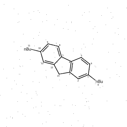 CCCCc1[c]c2c(cc1)-c1ccc(CCCC)cc1C2